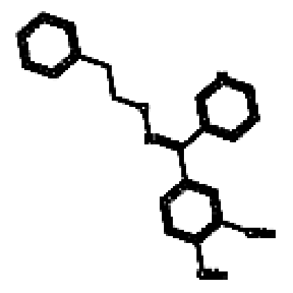 COc1ccc(C(=NOCCc2ccccc2)c2cccnc2)cc1OC